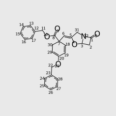 O=C1CC2OC(=CC3(C(=O)OCc4ccccc4)C=CC(OCc4ccccc4)=CC3)CN12